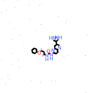 C[C@H](C[C@@H](C)Oc1ccccc1)NC(=O)Nc1ccc2ncc(C3=CNNC3)cc2n1